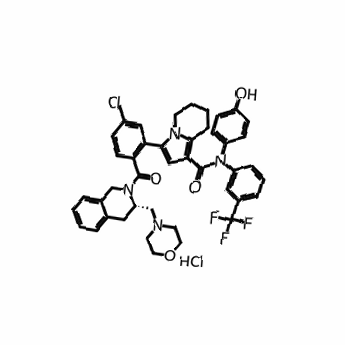 Cl.O=C(c1cc(-c2cc(Cl)ccc2C(=O)N2Cc3ccccc3C[C@H]2CN2CCOCC2)n2c1CCCC2)N(c1ccc(O)cc1)c1cccc(C(F)(F)F)c1